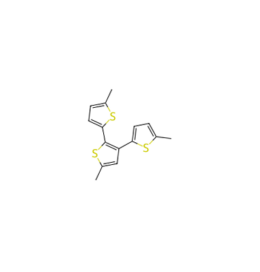 Cc1ccc(-c2cc(C)sc2-c2ccc(C)s2)s1